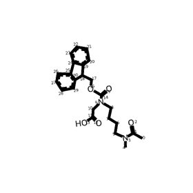 CC(=O)N(C)CCCCN(CC(=O)O)C(=O)OCC1c2ccccc2-c2ccccc21